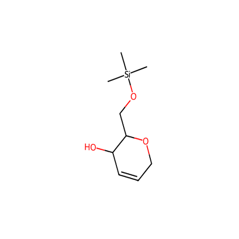 C[Si](C)(C)OCC1OCC=CC1O